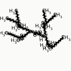 CCCCCCCCCCC(CC)OC(=O)C(C)(C)CCCCN(CCCCCCC(C)(C)C(=O)OC(CCCCCCCC)CCCCCCCC)CCNC(=O)CCC(=O)NCCN(CCCCCCC(C)(C)C(=O)OC(CCCCCCCC)CCCCCCCC)CCCCCC(=O)O[C@@H](CC)CCCCCCCCCC